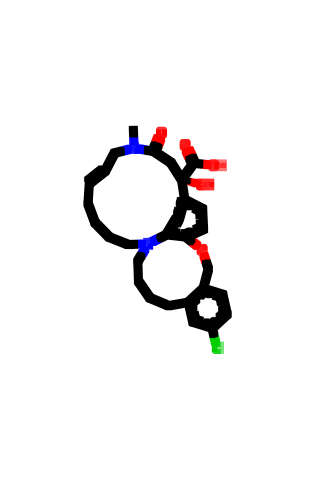 CN1C/C=C/CCCCN2CCCCc3cc(Cl)ccc3COc3ccc(cc32)[C@@](O)(C(=O)O)CC1=O